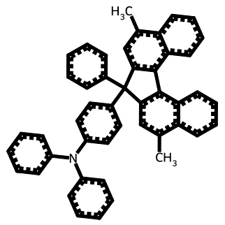 Cc1cc2c(c3ccccc13)-c1c(cc(C)c3ccccc13)C2(c1ccccc1)c1ccc(N(c2ccccc2)c2ccccc2)cc1